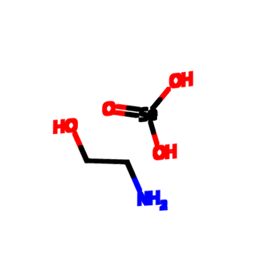 NCCO.O=[Se](O)O